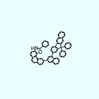 c1ccc(C2Nc3ccc4ccc5ccc(-c6cc(-c7ccc8c(c7)C(c7ccccc7)(c7ccccc7)c7cc9ccccc9cc7-8)c7ccccc7c6)cc5c4c3O2)cc1